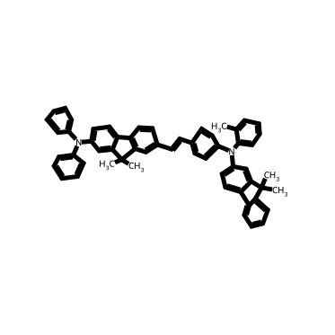 Cc1ccccc1N(c1ccc(/C=C/c2ccc3c(c2)C(C)(C)c2cc(N(c4ccccc4)c4ccccc4)ccc2-3)cc1)c1ccc2c(c1)C(C)(C)c1ccccc1-2